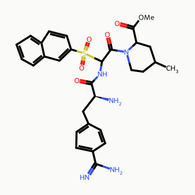 COC(=O)C1CC(C)CCN1C(=O)C(NC(=O)[C@@H](N)Cc1ccc(C(=N)N)cc1)S(=O)(=O)c1ccc2ccccc2c1